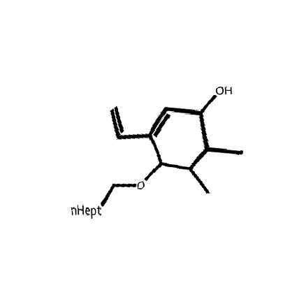 C=CC1=CC(O)C(C)C(C)C1OCCCCCCCC